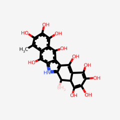 BC1c2[nH]c3c(O)c4c(C)c(O)c(O)c(O)c4c(O)c3c2C(O)=C2C(O)=C(O)C(O)=C(O)C21